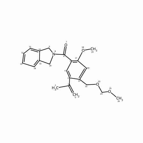 C=C(C)c1cc(C(=O)N2Cc3ccccc3C2)c(OC)cc1COCOC